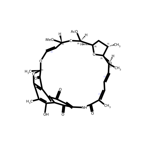 CO[C@H]1/C=C/O[C@@]2(C)Oc3c(C)c(O)c4c(c3C2=O)C(=O)C=C(NC(=O)/C(C)=C\C=C\[C@H](C)[C@@H]2O[C@H](C[C@@H]2C)[C@H](OC(C)=O)C1)C4=O